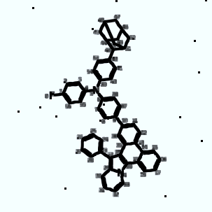 Fc1ccc(N(c2ccc(-c3ccc4c5ccccc5c5c(c(-c6ccccc6)c6ccccn65)c4c3)cc2)c2ccc(C3C4CC5CC(C4)CC3C5)cc2)cc1